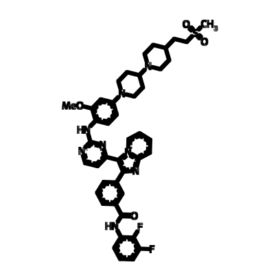 COc1cc(N2CCC(N3CCC(CCS(C)(=O)=O)CC3)CC2)ccc1Nc1nccc(-c2c(-c3cccc(C(=O)Nc4cccc(F)c4F)c3)nc3ccccn23)n1